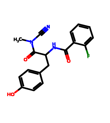 CN(C#N)C(=O)C(Cc1ccc(O)cc1)NC(=O)c1ccccc1F